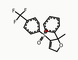 CC1(c2ccccc2)OCC=C1S(=O)(=O)c1ccc(C(F)(F)F)cc1